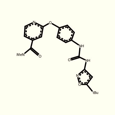 CNC(=O)c1ccnc(Oc2ccc(NC(=O)Nc3cc(C(C)(C)C)on3)cc2)c1